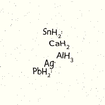 [Ag].[AlH3].[CaH2].[PbH2].[SnH2]